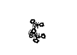 c1ccc(-c2cc(-c3ccccc3)nc(-c3cc(-c4nc(-c5ccccc5)nc(-c5ccccc5)n4)cc4oc5ccccc5c34)n2)cc1